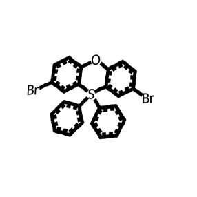 Brc1ccc2c(c1)S(c1ccccc1)(c1ccccc1)c1cc(Br)ccc1O2